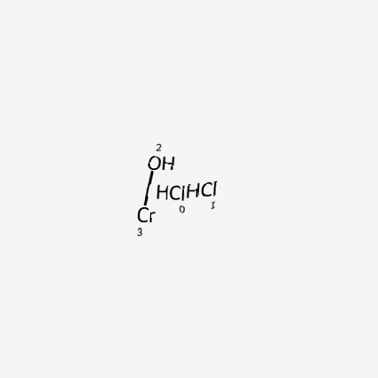 Cl.Cl.[OH][Cr]